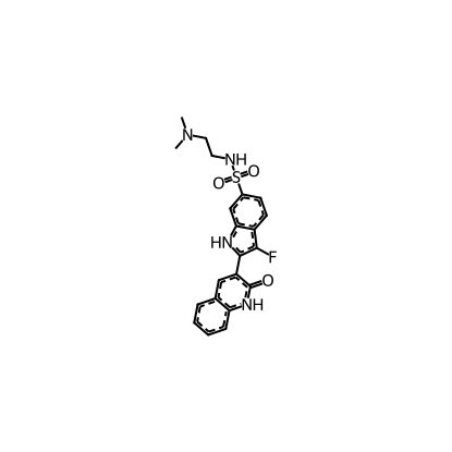 CN(C)CCNS(=O)(=O)c1ccc2c(F)c(-c3cc4ccccc4[nH]c3=O)[nH]c2c1